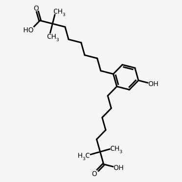 CC(C)(CCCCCCc1ccc(O)cc1CCCCCC(C)(C)C(=O)O)C(=O)O